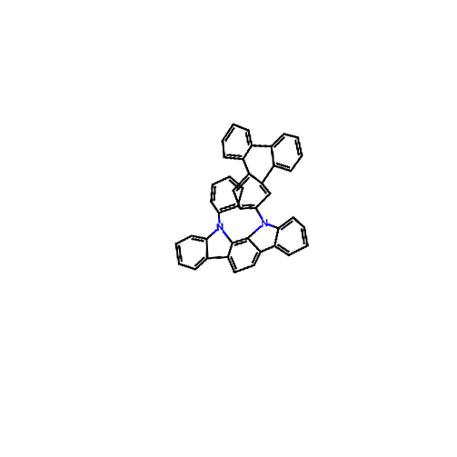 c1ccc(-n2c3ccccc3c3ccc4c5ccccc5n(-c5ccc6c7ccccc7c7ccccc7c6c5)c4c32)cc1